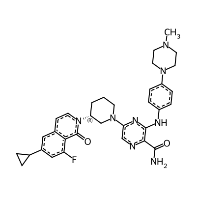 CN1CCN(c2ccc(Nc3nc(N4CCC[C@@H](n5ccc6cc(C7CC7)cc(F)c6c5=O)C4)cnc3C(N)=O)cc2)CC1